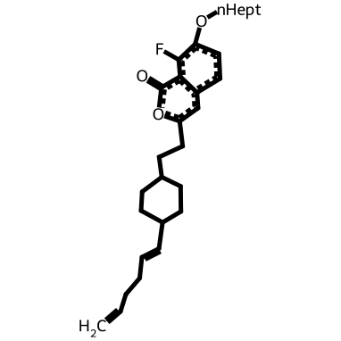 C=CCC/C=C/C1CCC(CCc2cc3ccc(OCCCCCCC)c(F)c3c(=O)o2)CC1